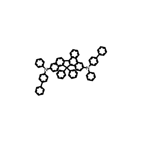 c1ccc(-c2ccc(N(c3ccccc3)c3ccc4c5c(ccc4c3)-c3c(c4ccc(N(c6ccccc6)c6ccc(-c7ccccc7)cc6)cc4c4ccccc34)C5(c3ccccc3)c3ccccc3)cc2)cc1